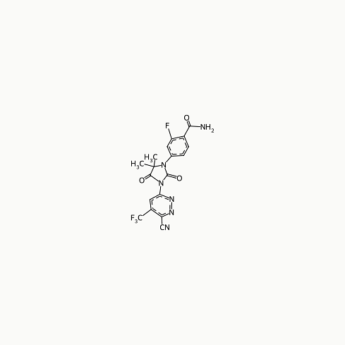 CC1(C)C(=O)N(c2cc(C(F)(F)F)c(C#N)nn2)C(=O)N1c1ccc(C(N)=O)c(F)c1